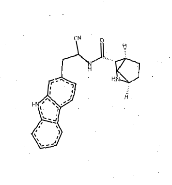 N#CC(Cc1ccc2c(c1)[nH]c1ccccc12)NC(=O)[C@H]1N[C@@H]2CC[C@H]1C2